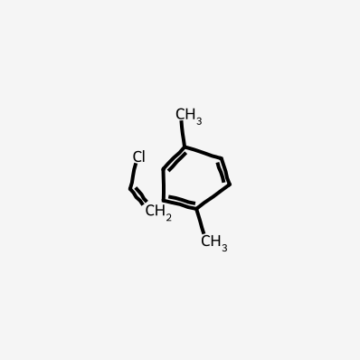 C=CCl.Cc1ccc(C)cc1